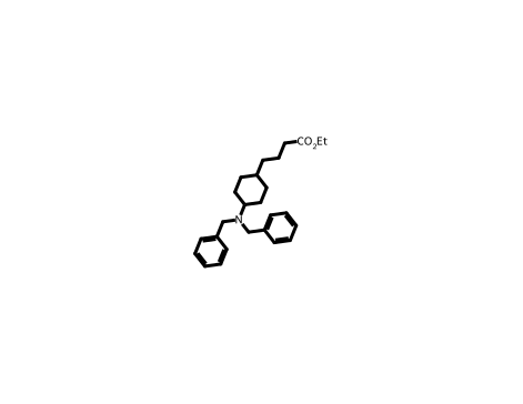 CCOC(=O)CCCC1CCC(N(Cc2ccccc2)Cc2ccccc2)CC1